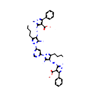 CCCCc1nn(-c2cc(-n3nc(CCCC)c(/N=N/c4c(C(=O)OC)c(-c5ccccc5)nn4C)c3N)ncn2)c(N)c1/N=N/c1c(C(=O)OC)c(-c2ccccc2)nn1C